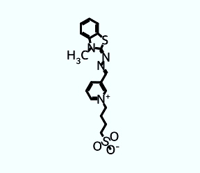 Cn1/c(=N\N=C\c2ccc[n+](CCCCS(=O)(=O)[O-])c2)sc2ccccc21